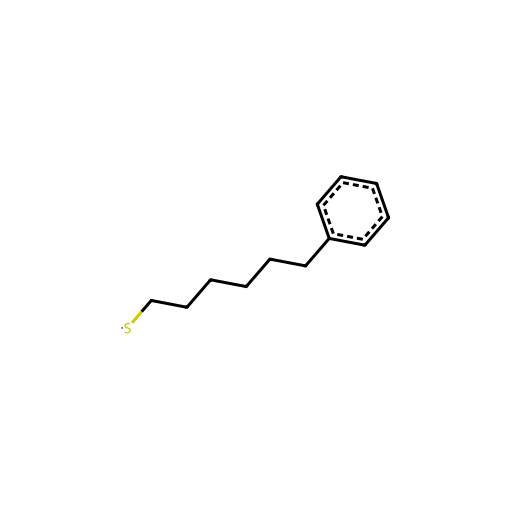 [S]CCCCCCc1ccccc1